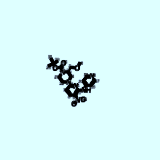 COC[C@H]1CN(c2ccc([N+](=O)[O-])c(Nc3ccncc3)n2)CCN1C(=O)OC(C)(C)C